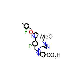 COCCn1cncc1Cn1c(Cc2ccc(-c3cccc(OCc4ccc(C)cc4F)n3)cc2F)nc2ccc(C(=O)O)cc21